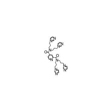 O=C(c1ccnc(C(=O)N(CCCn2ccnc2)CCCn2ccnc2)c1)N(CCCn1ccnc1)CCCn1ccnc1